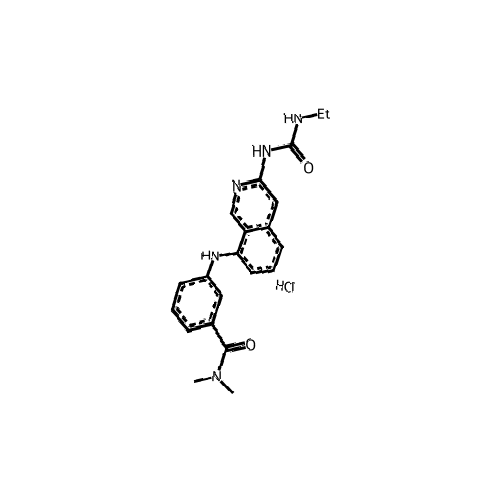 CCNC(=O)Nc1cc2cccc(Nc3cccc(C(=O)N(C)C)c3)c2cn1.Cl